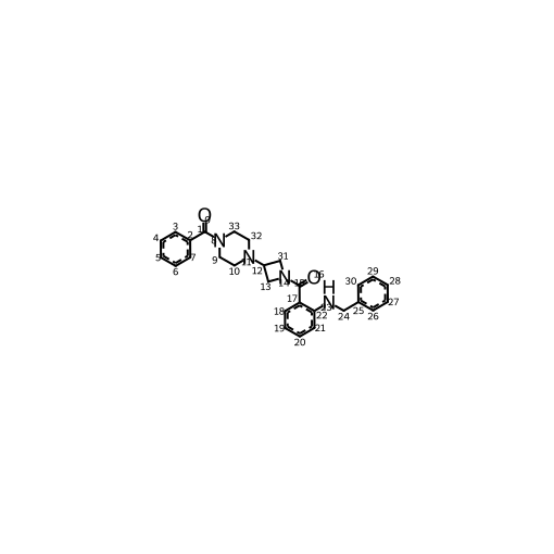 O=C(c1ccccc1)N1CCN(C2CN(C(=O)c3ccccc3NCc3ccccc3)C2)CC1